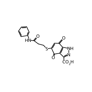 O=C(CCSC1=CC(=O)c2[nH]nc(C(=O)O)c2C1=O)Nc1ccccc1